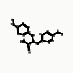 CSc1ccc(OC(Oc2ccc(SC)cc2)C(=O)O)cc1